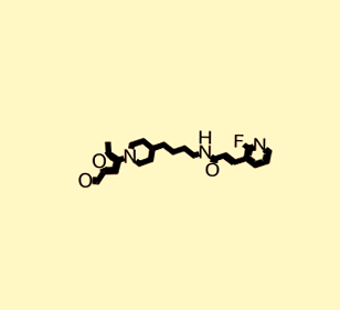 Cc1oc(C=O)cc1N1CCC(CCCCNC(=O)/C=C/c2cccnc2F)CC1